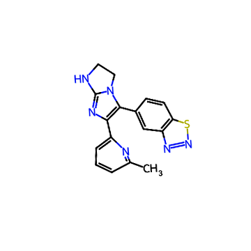 Cc1cccc(-c2nc3n(c2-c2ccc4snnc4c2)CCN3)n1